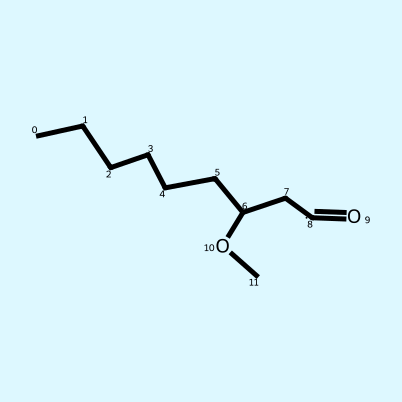 CCCCCCC(C[C]=O)OC